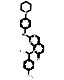 Cc1ccc(C(C)n2c(=O)ccc3cnc(Nc4ccc(N5CCCCC5)cc4)nc32)cc1